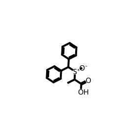 CC(C(=O)O)[S+]([O-])C(c1ccccc1)c1ccccc1